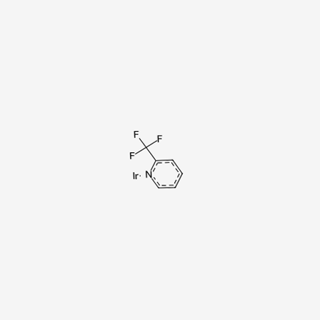 FC(F)(F)c1ccccn1.[Ir]